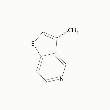 Cc1[c]sc2ccncc12